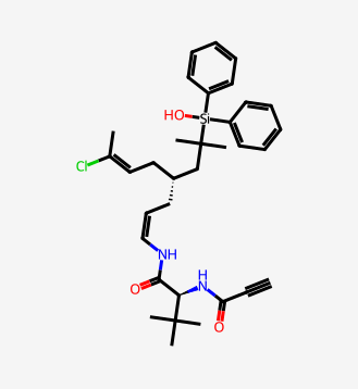 C#CC(=O)N[C@H](C(=O)N/C=C\C[C@H](C/C=C(\C)Cl)CC(C)(C)[Si](O)(c1ccccc1)c1ccccc1)C(C)(C)C